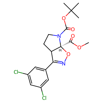 COC(=O)[C@]12ON=C(c3cc(Cl)cc(Cl)c3)C1CCN2C(=O)OC(C)(C)C